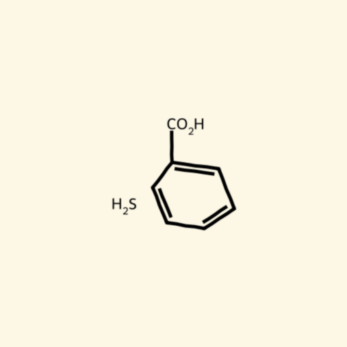 O=C(O)c1ccccc1.S